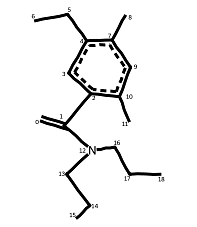 C=C(c1cc(CC)c(C)cc1C)N(CCC)CCC